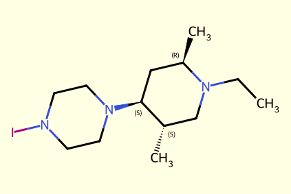 CCN1C[C@H](C)[C@@H](N2CCN(I)CC2)C[C@H]1C